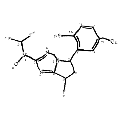 [O-][S+](c1nc2n(n1)C(c1cc(Cl)ccc1F)CC2F)C(F)F